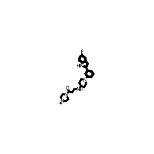 CN1CCN(C(=O)CCNC2CCN(c3cccc(-c4cc5cc(F)ccc5[nH]4)c3)CC2)CC1